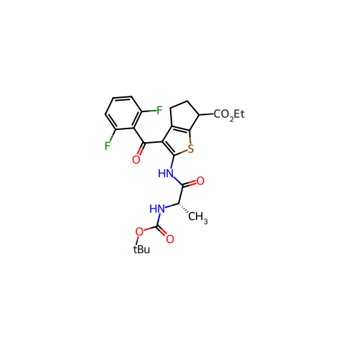 CCOC(=O)C1CCc2c1sc(NC(=O)[C@H](C)NC(=O)OC(C)(C)C)c2C(=O)c1c(F)cccc1F